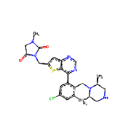 Cc1cc(Cl)cc(-c2ncnc3cc(CN4C(=O)CN(C)C4=O)sc23)c1CN1C(C)CNC[C@@H]1C